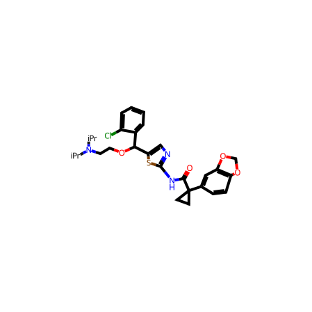 CC(C)N(CCOC(c1cnc(NC(=O)C2(c3ccc4c(c3)OCO4)CC2)s1)c1ccccc1Cl)C(C)C